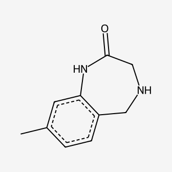 Cc1ccc2c(c1)NC(=O)CNC2